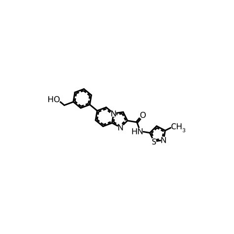 Cc1cc(NC(=O)c2cn3cc(-c4cccc(CO)c4)ccc3n2)sn1